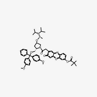 COc1ccc(C(OC[C@@H]2C[C@@H](OP(C)N(C(C)C)C(C)C)CN2C(=O)Cc2cc3nc4ccc(OC(=O)C(C)(C)C)cc4oc-3cc2=O)(c2ccccc2)c2ccc(OC)cc2)cc1